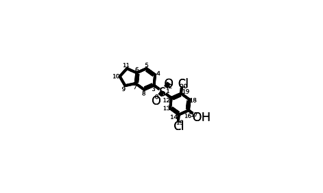 O=S(=O)(c1ccc2c(c1)CCC2)c1cc(Cl)c(O)cc1Cl